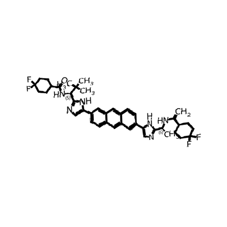 C=C(N[C@@H](C)c1ncc(-c2ccc3cc4cc(-c5cnc([C@@H](NC(=O)C6CCC(F)(F)CC6)C(C)(C)C)[nH]5)ccc4cc3c2)[nH]1)C1CCC(F)(F)CC1